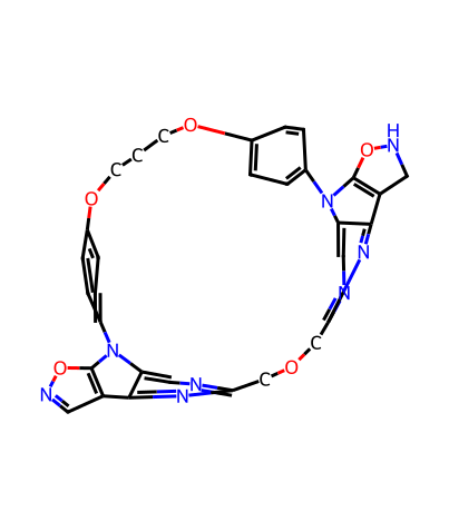 c1cc2ccc1OCCCOc1ccc(cc1)-n1c3cnc(nc3c3cnoc31)COCc1ncc3c(n1)c1c(n3-2)ONC1